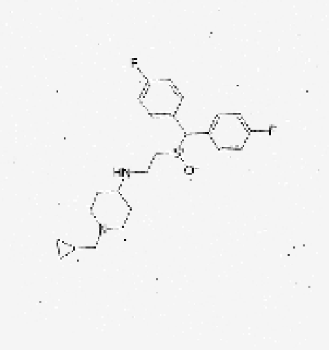 [O-][S+](CCNC1CCN(CC2CC2)CC1)C(c1ccc(F)cc1)c1ccc(F)cc1